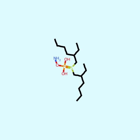 CCCCC(CC)CS(CC(CC)CCCC)=P(O)(O)ON